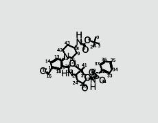 CC(C)(C)OC(=O)NC1CCN(c2ccc(C=O)cc2C(=O)NC(CC(=O)ONS(=O)(=O)c2ccccc2)C(C)(C)C)CC1